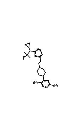 CC(C)c1ccc(C(C)C)c(C2CCC(CCc3cccc(C(C4CC4)C(C)(C)F)c3)CC2)c1